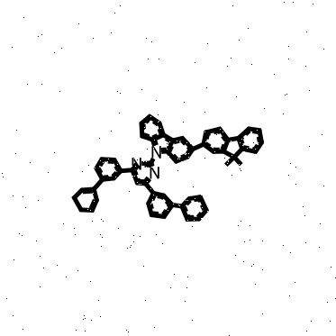 CC1(C)c2ccccc2-c2ccc(-c3ccc4c(c3)c3ccccc3n4-c3nc(-c4cccc(C5=CCCC=C5)c4)cc(-c4cccc(-c5ccccc5)c4)n3)cc21